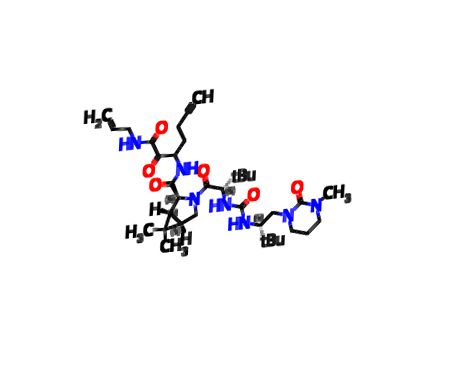 C#CCCC(NC(=O)[C@@H]1[C@@H]2[C@H](CN1C(=O)[C@@H](NC(=O)N[C@H](CN1CCCN(C)C1=O)C(C)(C)C)C(C)(C)C)C2(C)C)C(=O)C(=O)NCC=C